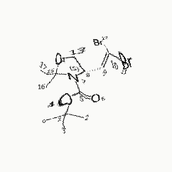 CC(C)(C)OC(=O)N1[C@@H](C=C(Br)Br)COC1(C)C